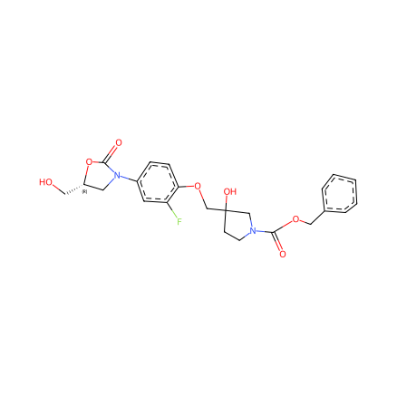 O=C(OCc1ccccc1)N1CCC(O)(COc2ccc(N3C[C@H](CO)OC3=O)cc2F)C1